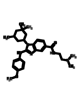 CC1CC(n2c(Nc3ccc(OC(F)(F)F)cc3)nc3cc(C(=O)NCCN(C)C)ccc32)CC(C)(C)C1